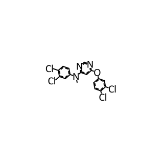 CN(c1ccc(Cl)c(Cl)c1)c1cc(Oc2ccc(Cl)c(Cl)c2)ncn1